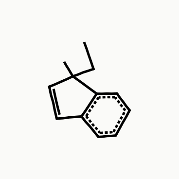 CCC1(C)C=Cc2ccccc21